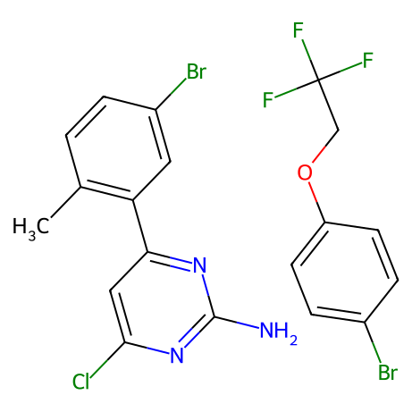 Cc1ccc(Br)cc1-c1cc(Cl)nc(N)n1.FC(F)(F)COc1ccc(Br)cc1